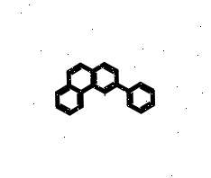 [c]1c(-c2ccccc2)ccc2ccc3ccccc3c12